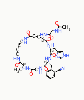 CC(=O)NCC(=O)N[C@H]1CCC(=O)NCCCCNC(=O)[C@H](C)NC(=O)CNC(=O)[C@@H](Cc2ccccc2C#N)NC(=O)[C@H](Cc2c[nH]cn2)NC1=O